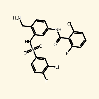 NCc1ccc(NC(=O)c2c(F)cccc2Cl)cc1NS(=O)(=O)c1ccc(F)c(Cl)c1